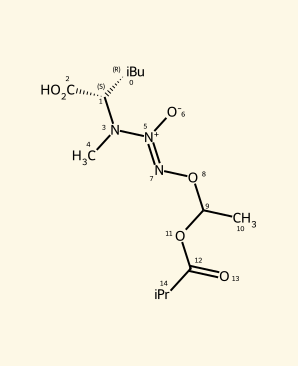 CC[C@@H](C)[C@@H](C(=O)O)N(C)[N+]([O-])=NOC(C)OC(=O)C(C)C